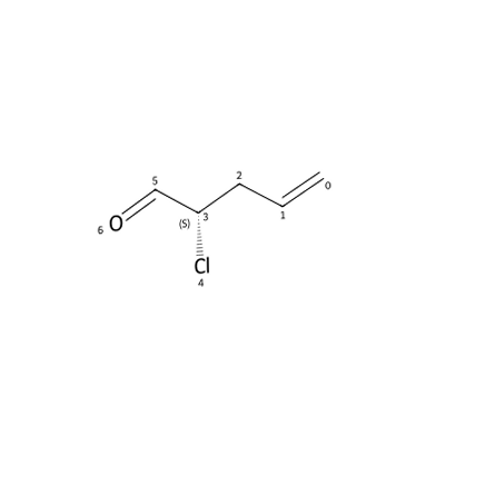 C=CC[C@H](Cl)C=O